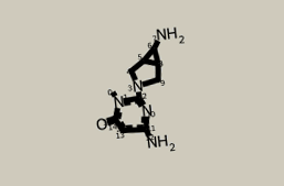 Cn1c(N2CC3C(N)C3C2)nc(N)[c]c1=O